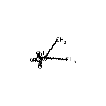 CCCCCCCCCCCCCCCCCCN(CCCCCCCCCCCCCCCCCC)C(=O)CN1CCN(COC=O)CCN(COC=O)CCN(CC(=O)O)CC1